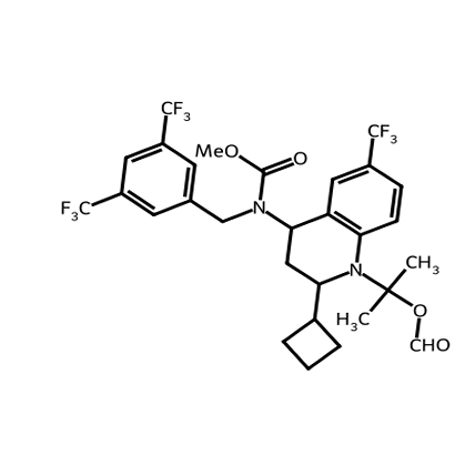 COC(=O)N(Cc1cc(C(F)(F)F)cc(C(F)(F)F)c1)C1CC(C2CCC2)N(C(C)(C)OC=O)c2ccc(C(F)(F)F)cc21